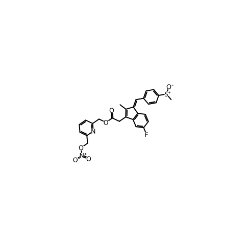 CC1=C(CC(=O)OCc2cccc(CO[N+](=O)[O-])n2)c2cc(F)ccc2/C1=C\c1ccc([S+](C)[O-])cc1